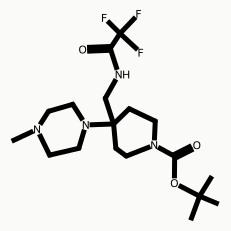 CN1CCN(C2(CNC(=O)C(F)(F)F)CCN(C(=O)OC(C)(C)C)CC2)CC1